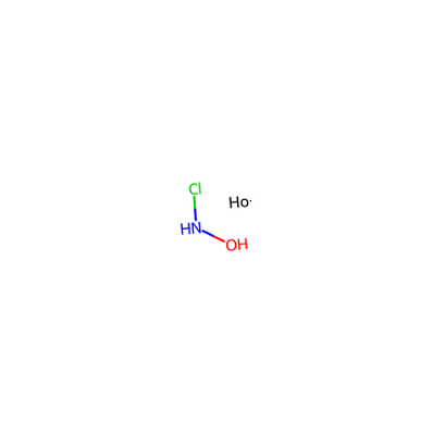 ONCl.[Ho]